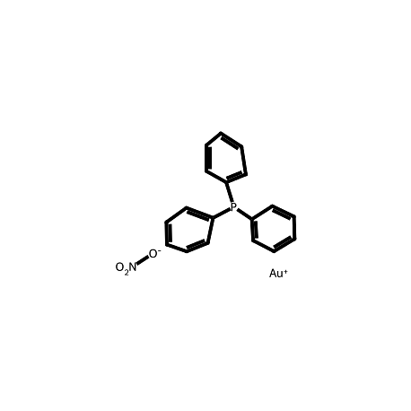 O=[N+]([O-])[O-].[Au+].c1ccc(P(c2ccccc2)c2ccccc2)cc1